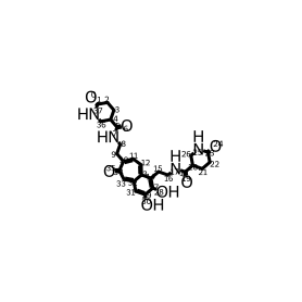 O=C1CCC(C(=O)NCCc2ccc3c(CCNC(=O)C4CCC(=O)NC4)c(O)c(O)cc3cc2=O)CN1